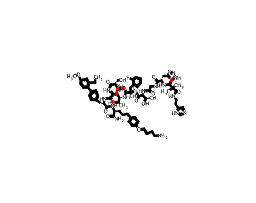 CCc1cc(OC)ccc1-c1ccc(C[C@H](NC(=O)[C@H](CC(=O)O)NC(=O)[C@H](CO)NC(=O)[C@H](NC(=O)[C@](C)(Cc2ccccc2F)NC(=O)[C@@H](NC(=O)CNC(=O)[C@H](Cc2nn[nH]n2)NC(=O)C(C)(C)C(=O)NCCc2cnc[nH]2)[C@@H](C)O)[C@@H](C)O)C(=O)N[C@@H](CCCc2ccc(OCCCCN)cc2)C(N)=O)cc1